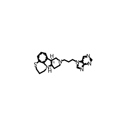 c1cc2c3c(c1)[C@H]1CN(CCCn4cnc5ncncc54)CC[C@H]1N3CCCS2